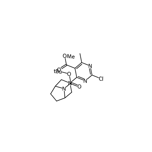 COC(=O)c1c(C)nc(Cl)nc1N1CC2CCC(C1)N2C(=O)OC(C)(C)C